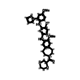 COc1ccc(Nc2nc(Nc3cc4c(cc3OC)CCN(C(=O)C3COCCO3)CC4)ncc2Cl)c(-n2cccn2)c1